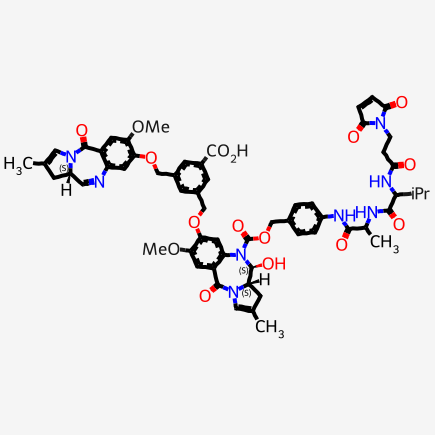 COc1cc2c(cc1OCc1cc(COc3cc4c(cc3OC)C(=O)N3C=C(C)C[C@H]3[C@H](O)N4C(=O)OCc3ccc(NC(=O)C(C)NC(=O)C(NC(=O)CCN4C(=O)C=CC4=O)C(C)C)cc3)cc(C(=O)O)c1)N=C[C@@H]1CC(C)=CN1C2=O